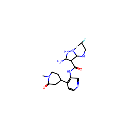 CN1CCC(c2ccncc2NC(=O)C2C(N)NN3CC(F)CNC23)CC1=O